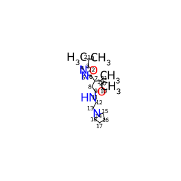 CC(C)c1nnc(C(CC(=O)NCCN2CCCC2)C(C)C)o1